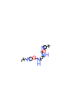 CCC(C)(C)CCN1CCC(OCCNC(C)(C)CC(C)(C)NC[C@H](C)Oc2cc(C(C)(C)C)ccn2)CC1